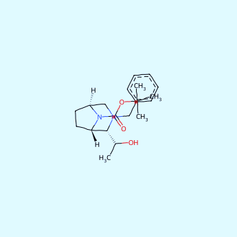 CC(O)[C@@H]1[C@@H]2CC[C@@H](CN1Cc1ccccc1)N2C(=O)OC(C)(C)C